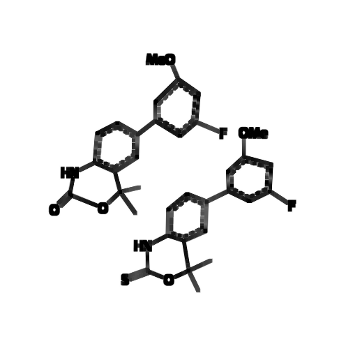 COc1cc(F)cc(-c2ccc3c(c2)C(C)(C)OC(=O)N3)c1.COc1cc(F)cc(-c2ccc3c(c2)C(C)(C)OC(=S)N3)c1